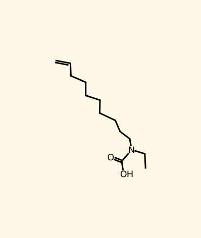 C=CCCCCCCCCN(CC)C(=O)O